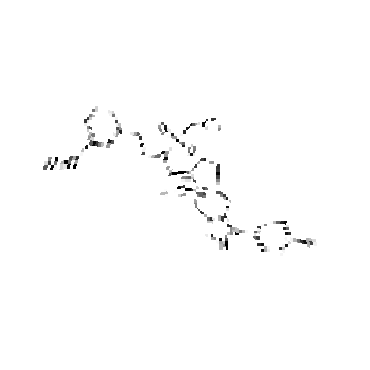 COc1cccc(CCN(C[C@H]2CCC3=Cc4c(cnn4-c4ccc(F)cc4)C[C@@]32C)S(=O)(=O)CC(F)(F)F)c1